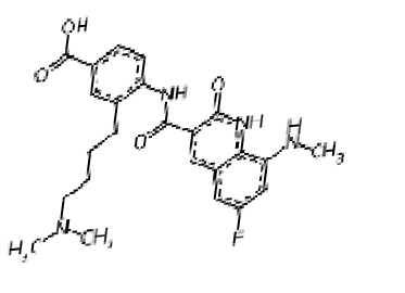 CNc1cc(F)cc2cc(C(=O)Nc3ccc(C(=O)O)cc3CCCCN(C)C)c(=O)[nH]c12